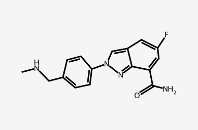 CNCc1ccc(-n2cc3cc(F)cc(C(N)=O)c3n2)cc1